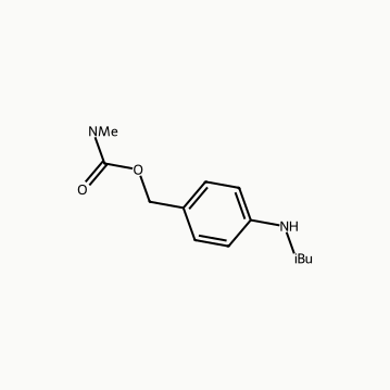 CCC(C)Nc1ccc(COC(=O)NC)cc1